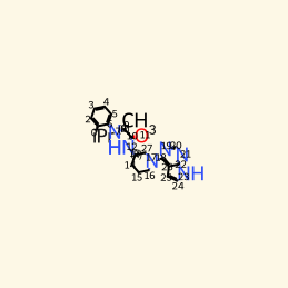 CC(C)c1ccccc1N[C@H](C)C(=O)N[C@@H]1CCCN(c2ncnc3[nH]ccc23)C1